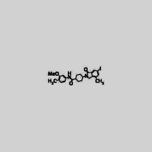 COc1cc(NC(=O)C2CCC(N3Cc4c(C)cc(I)cc4C3=O)CC2)ccc1C